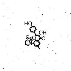 Cc1cc(N2CCCS2(=O)=O)c2oc(-c3ccc(O)cc3)c(O)c(=O)c2c1